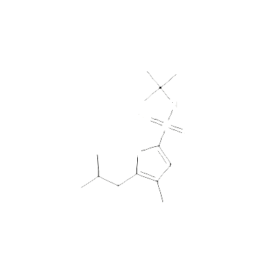 Cc1[c]c(S(=O)(=O)NC(C)(C)C)sc1CC(C)C